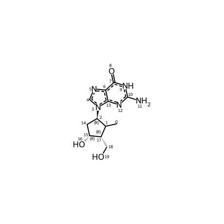 CC1[C@H](n2cnc3c(=O)[nH]c(N)nc32)C[C@@H](O)[C@H]1CO